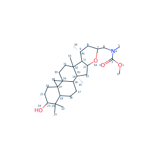 COC(=O)N(C)CC1C[C@@H](C)C2C(C[C@@]3(C)C4CCC5C(C)(C)C(O)CCC56CC46CCC23C)O1